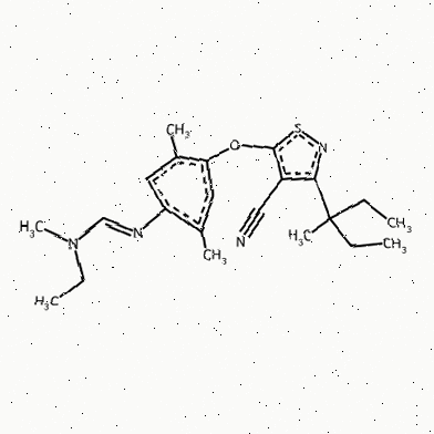 CCN(C)C=Nc1cc(C)c(Oc2snc(C(C)(CC)CC)c2C#N)cc1C